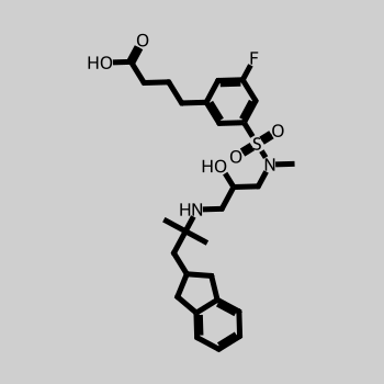 CN(CC(O)CNC(C)(C)CC1Cc2ccccc2C1)S(=O)(=O)c1cc(F)cc(CCCC(=O)O)c1